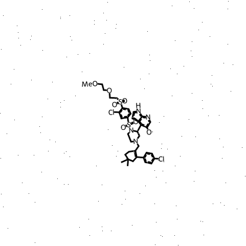 COCCOCCS(=O)(=O)c1ccc(S(=O)(=O)N2CCN(CC3=C(c4ccc(Cl)cc4)CC(C)(C)CC3)CC2c2c([O])cnc3[nH]ccc23)cc1Cl